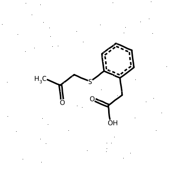 CC(=O)CSc1ccccc1CC(=O)O